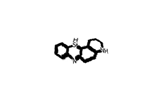 c1ccc2[siH]c3c4c(ccc3nc2c1)NCCC4